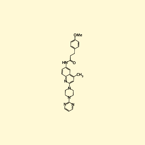 COc1ccc(CCC(=O)Nc2ccc3nc(N4CCN(c5ncccn5)CC4)cc(C)c3c2)cc1